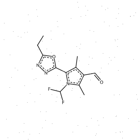 CCc1nnc(-c2c(C)c(C=O)c(C)n2C(F)F)o1